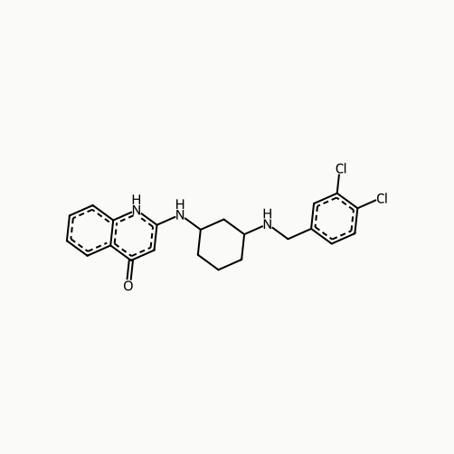 O=c1cc(NC2CCCC(NCc3ccc(Cl)c(Cl)c3)C2)[nH]c2ccccc12